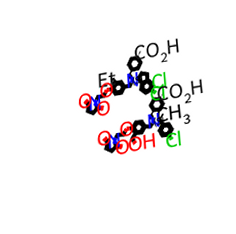 CCc1cc(CN(C[C@H]2CC[C@H](C(=O)O)CC2)[C@H]2CCc3c2ccc(Cl)c3Cl)ccc1OCCN1C(=O)CCC1=O.C[C@@H](c1ccc(Cl)cc1)N(Cc1ccc(OCCN2C(=O)CCC2=O)c(CO)c1)C[C@H]1CC[C@H](C(=O)O)CC1